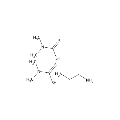 CN(C)C(=S)S.CN(C)C(=S)S.NCCN